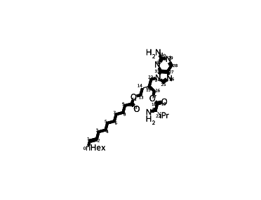 CCCCCCC=CCCCCCCCC(=O)OCC[C@@H](COC(=O)[C@@H](N)C(C)C)Cn1cnc2cnc(N)nc21